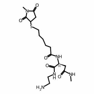 CNC(=O)C[C@H](NC(=O)CCCCCSC1CC(=O)N(C)C1=O)C(=O)NCCN